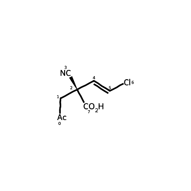 CC(=O)C[C@](C#N)(/C=C/Cl)C(=O)O